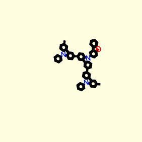 Cc1ccc2c(c1)c1cc(-c3ccc4c(c3)c3cc(-c5ccc6c(c5)c5cc(C)ccc5n6-c5ccccc5)ccc3n4-c3ccc4oc5ccccc5c4c3)ccc1n2-c1ccccc1